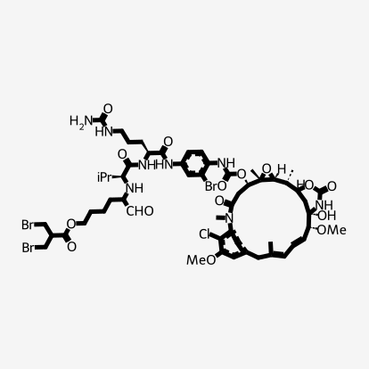 COc1cc2cc(c1Cl)N(C)C(=O)C[C@H](OC(=O)Nc1ccc(NC(=O)[C@H](CCCNC(N)=O)NC(=O)[C@@H](NC(C=O)CCCCOC(=O)C(CBr)CBr)C(C)C)cc1Br)[C@]1(C)O[C@H]1[C@H](C)[C@@H]1C[C@@](O)(NC(=O)O1)[C@H](OC)/C=C/C=C(\C)C2